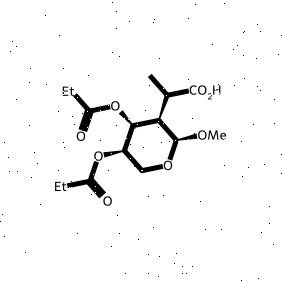 CCC(=O)O[C@H]1[C@@H](C(C)C(=O)O)[C@@H](OC)OC[C@H]1OC(=O)CC